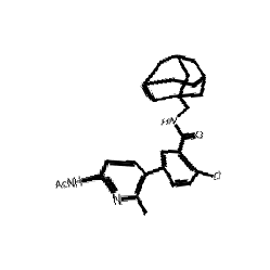 CC(=O)Nc1ccc(-c2ccc(Cl)c(C(=O)NCC34CC5CC(CC(C5)C3)C4)c2)c(C)n1